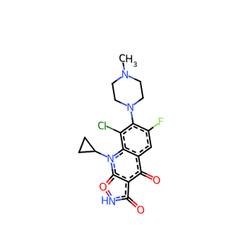 CN1CCN(c2c(F)cc3c(=O)c4c(=O)[nH]oc4n(C4CC4)c3c2Cl)CC1